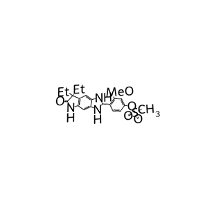 CCC1(CC)C(=O)Nc2cc3c(cc21)NC(c1ccc(OS(C)(=O)=O)cc1OC)N3